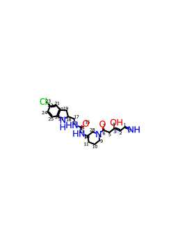 N=C/C=C(\O)CC(=O)N1CCC[C@@H](NC(=O)NCC2Cc3cc(Cl)ccc3N2)C1